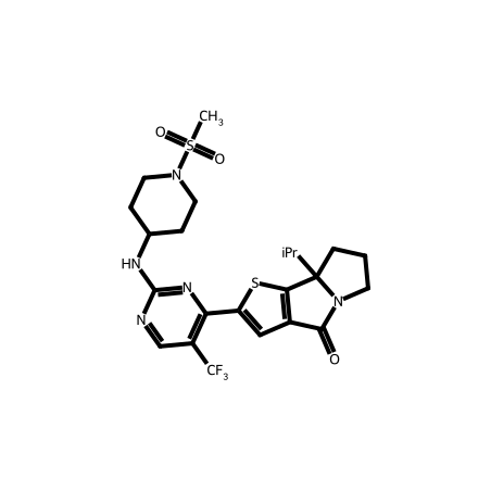 CC(C)C12CCCN1C(=O)c1cc(-c3nc(NC4CCN(S(C)(=O)=O)CC4)ncc3C(F)(F)F)sc12